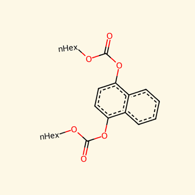 CCCCCCOC(=O)Oc1ccc(OC(=O)OCCCCCC)c2ccccc12